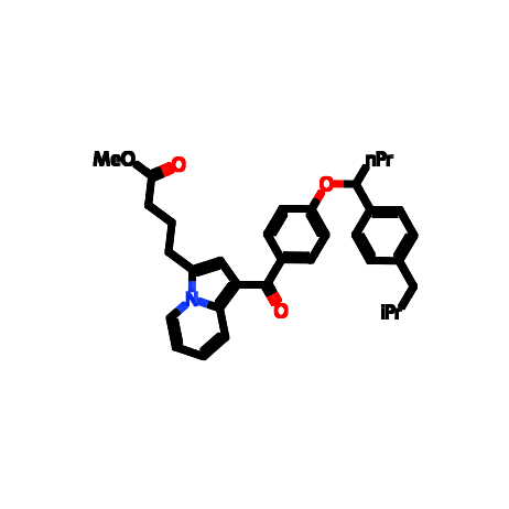 CCCC(Oc1ccc(C(=O)c2cc(CCCC(=O)OC)n3ccccc23)cc1)c1ccc(CC(C)C)cc1